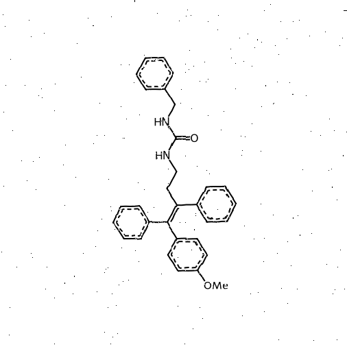 COc1ccc(C(=C(CCNC(=O)NCc2ccccc2)c2ccccc2)c2ccccc2)cc1